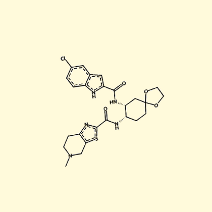 CN1CCc2nc(C(=O)N[C@H]3CCC4(C[C@H]3NC(=O)c3cc5cc(Cl)ccc5[nH]3)OCCO4)sc2C1